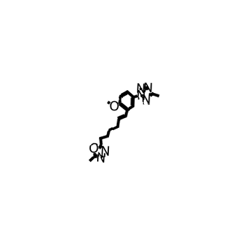 COc1ccc(-n2nnc(C)n2)cc1/C=C/CCCCc1nnc(C)o1